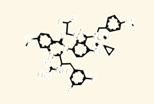 COc1ccc(CN(c2nn(CC(F)F)c3c(-n4c(C(Cc5cc(F)cc(F)c5)NC(=O)O)nc5cc(OC)ccc5c4=O)ccc(Cl)c23)S(=O)(=O)C2CC2)cc1